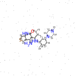 CC/C(C)=C(/Nc1cc(N2CCN(C)CC2)ccc1C)c1c(N)c2cscc2[nH]c1=O